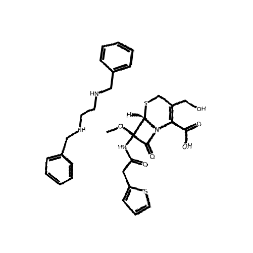 COC1(NC(=O)Cc2cccs2)C(=O)N2C(C(=O)O)=C(CO)CS[C@H]21.c1ccc(CNCCNCc2ccccc2)cc1